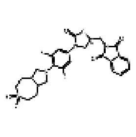 O=C1c2ccccc2C(=O)N1C[C@H]1CN(c2cc(F)c(N3CC4CCS(=O)(=O)CCC4C3)c(F)c2)C(=O)O1